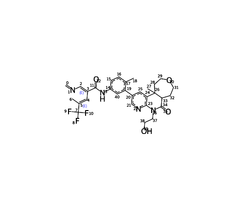 C=N/C=C(\C=C(/C)C(F)(F)F)C(=O)Nc1ccc(C)c(-c2cnc3c(c2)C2(C)CCOCCC2C(=O)N3CCO)c1